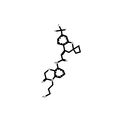 O=C(/C=C1\CC2(CCC2)Oc2cc(C(F)(F)F)ccc21)Nc1cccc2c1OCC(=O)N2CCCO